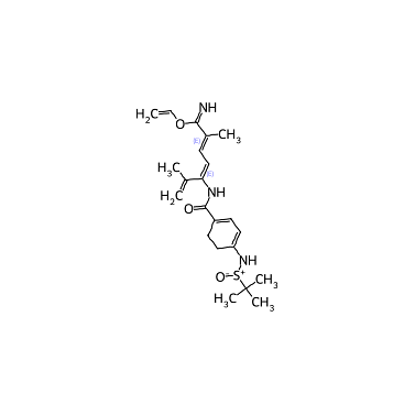 C=COC(=N)/C(C)=C/C=C(/NC(=O)C1=CC=C(N[S+]([O-])C(C)(C)C)CC1)C(=C)C